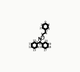 c1ccc(CCON=C(c2ccccc2)c2ccccc2)cc1